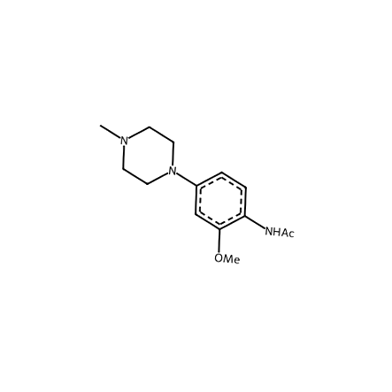 COc1cc(N2CCN(C)CC2)ccc1NC(C)=O